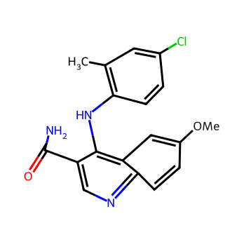 COc1ccc2ncc(C(N)=O)c(Nc3ccc(Cl)cc3C)c2c1